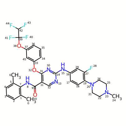 Cc1cccc(C)c1NC(=O)c1cnc(Nc2ccc(N3CCN(C)CC3)c(F)c2)nc1Oc1cccc(OC(F)(F)C(F)F)c1